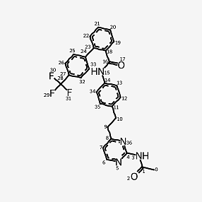 CC(=O)Nc1nccc(CCc2ccc(NC(=O)c3ccccc3-c3ccc(C(F)(F)F)cc3)cc2)n1